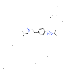 CC(C)CN(C)CCc1ccc(CNC(C)C)cc1